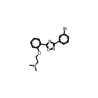 CN(C)CCOc1ccccc1-c1nc(-c2cccc(Br)c2)no1